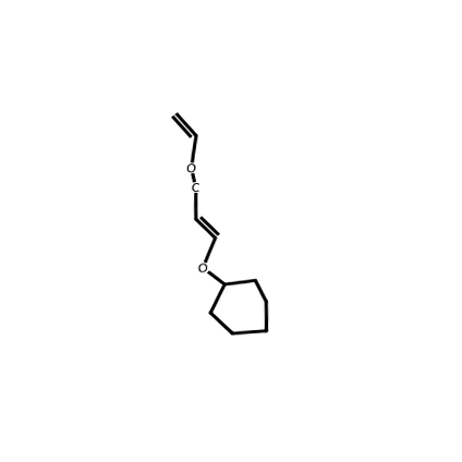 C=COCC=COC1CCCCC1